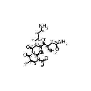 CC(=O)n1cc(F)c(=O)n(C(=O)[C@H](CCCCN)NC(=O)[C@@H](N)CC(N)=O)c1=O